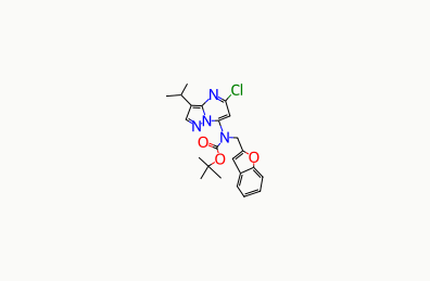 CC(C)c1cnn2c(N(Cc3cc4ccccc4o3)C(=O)OC(C)(C)C)cc(Cl)nc12